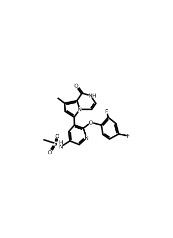 Cc1cc(-c2cc(NS(C)(=O)=O)cnc2Oc2ccc(F)cc2F)n2cc[nH]c(=O)c12